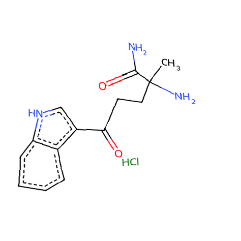 CC(N)(CCC(=O)c1c[nH]c2ccccc12)C(N)=O.Cl